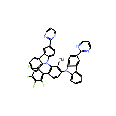 N#Cc1c(-n2c3ccccc3c3cc(-c4ncccn4)ccc32)ccc(-c2c(F)c(F)c(F)c(F)c2F)c1-n1c2ccccc2c2cc(-c3ncccn3)ccc21